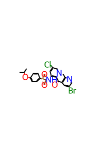 Cc1ncc(Br)cc1C(=O)c1ncc(Cl)cc1NS(=O)(=O)c1ccc(OC(C)C)cc1